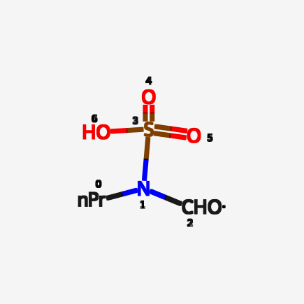 CCCN([C]=O)S(=O)(=O)O